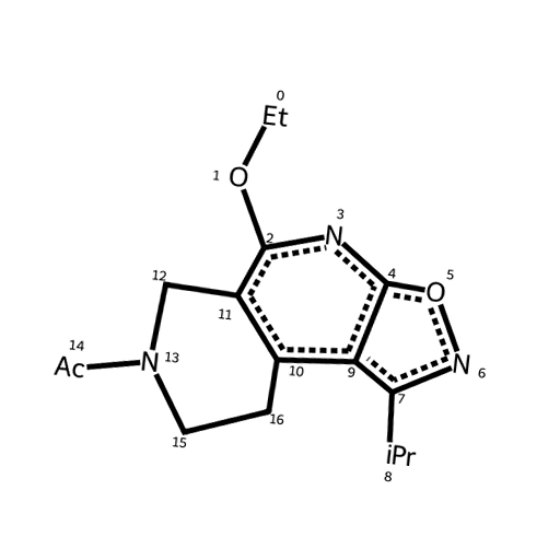 CCOc1nc2onc(C(C)C)c2c2c1CN(C(C)=O)CC2